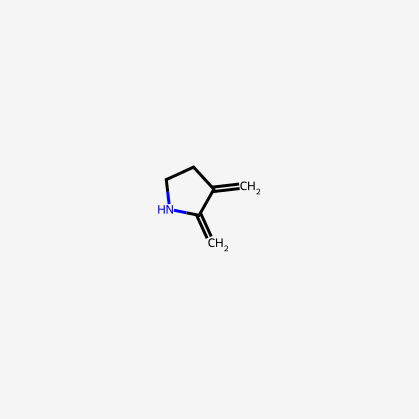 C=C1CCNC1=C